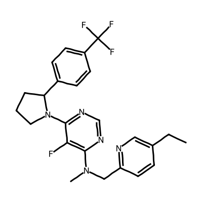 CCc1ccc(CN(C)c2ncnc(N3CCCC3c3ccc(C(F)(F)F)cc3)c2F)nc1